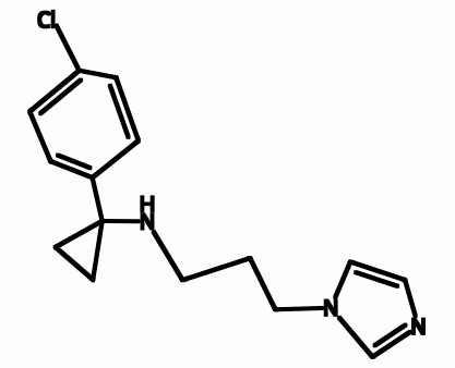 Clc1ccc(C2(NCCCn3ccnc3)CC2)cc1